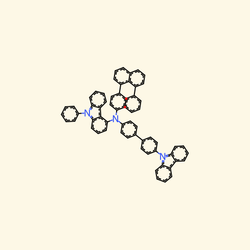 c1ccc(-c2cccc3cccc(-c4ccc(N(c5ccc(-c6ccc(-n7c8ccccc8c8ccccc87)cc6)cc5)c5cccc6c5c5ccccc5n6-c5ccccc5)cc4)c23)cc1